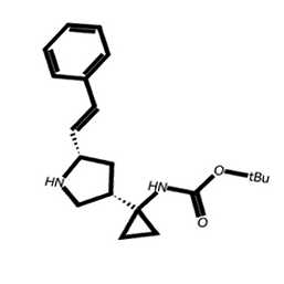 CC(C)(C)OC(=O)NC1([C@@H]2CN[C@H](C=Cc3ccccc3)C2)CC1